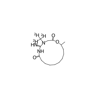 [2H]C([2H])([2H])N1CC(=O)OC(C)CCCCCCCCC(=O)NC1=N